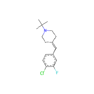 CC(C)(C)N1CCC(=Cc2ccc(Cl)c(F)c2)CC1